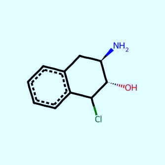 N[C@@H]1Cc2ccccc2C(Cl)[C@H]1O